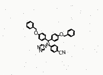 N#Cc1ccc(N(C(c2ccc(OCc3ccccc3)cc2)c2ccc(OCc3ccccc3)cc2)n2cnnc2)cc1